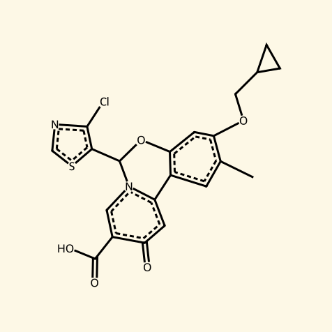 Cc1cc2c(cc1OCC1CC1)OC(c1scnc1Cl)n1cc(C(=O)O)c(=O)cc1-2